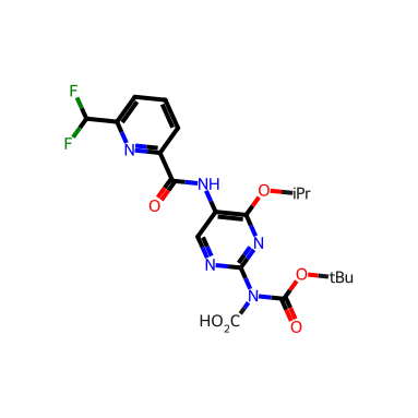 CC(C)Oc1nc(N(C(=O)O)C(=O)OC(C)(C)C)ncc1NC(=O)c1cccc(C(F)F)n1